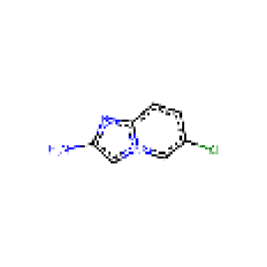 Nc1cn2cc(Cl)ccc2n1